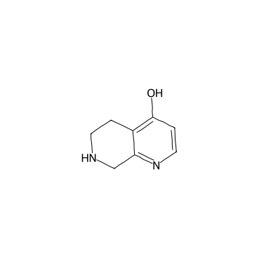 Oc1ccnc2c1CCNC2